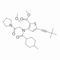 COC[C@@H](C(=O)N1CCCC1)N(C(=O)C1CCC(C)CC1)c1cc(C#CC(C)(C)C)sc1C(=O)OC